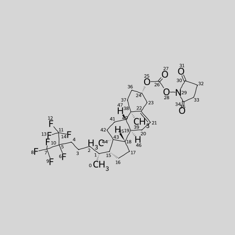 C[C@H](CCCC(F)(C(F)(F)F)C(F)(F)F)[C@H]1CC[C@H]2[C@@H]3CC=C4C[C@@H](OC(=O)ON5C(=O)CCC5=O)CC[C@]4(C)[C@H]3CC[C@]12C